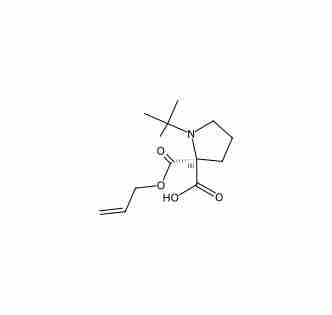 C=CCOC(=O)[C@@]1(C(=O)O)CCCN1C(C)(C)C